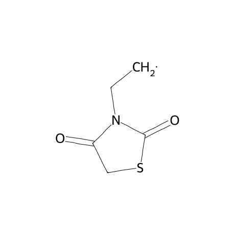 [CH2]CN1C(=O)CSC1=O